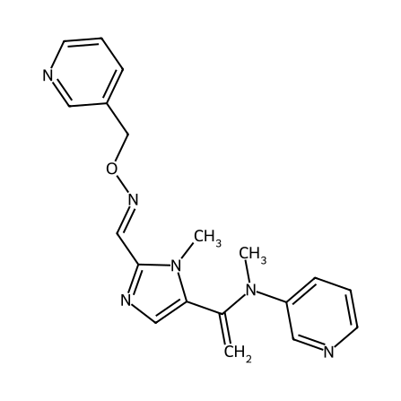 C=C(c1cnc(/C=N/OCc2cccnc2)n1C)N(C)c1cccnc1